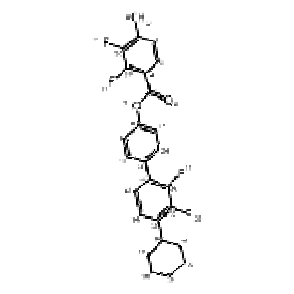 Cc1ccc(C(=O)Oc2ccc(-c3ccc(C4CCCCC4)c(F)c3F)cc2)c(F)c1F